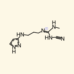 CN/C(=N/CCCNc1cc[nH]n1)NC#N